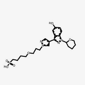 O=S(=O)(O)CCCCOCCCn1cc(-c2nn(C3CCCCO3)c3ccc(O)cc23)cn1